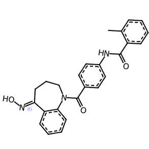 Cc1ccccc1C(=O)Nc1ccc(C(=O)N2CCC/C(=N\O)c3ccccc32)cc1